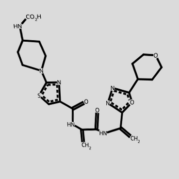 C=C(NC(=O)c1csc(N2CCC(NC(=O)O)CC2)n1)C(=O)NC(=C)c1nnc(C2CCOCC2)o1